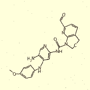 COc1ccc(Nc2cc(NC(=O)N3CCCc4ccc(C=O)nc43)ncc2N)cc1